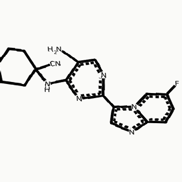 N#CC1(Nc2nc(-c3cnc4ccc(F)cn34)ncc2N)CCCCC1